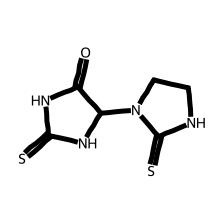 O=C1NC(=S)NC1N1CCNC1=S